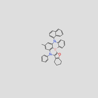 Cc1cc2c3c(c1)N(c1cccc4ccccc14)c1ccccc1B3c1oc3c(c1N2c1ccccc1)CCCC3